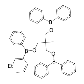 C/C=C\C(=C/CC)B(OCC(C)(COB(c1ccccc1)c1ccccc1)COB(c1ccccc1)c1ccccc1)c1ccccc1